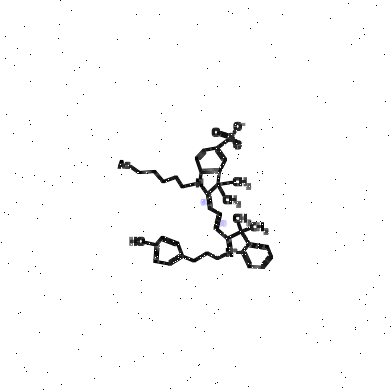 CC(=O)CCCCCN1/C(=C/C=C/C2=[N+](CCCc3ccc(O)cc3)c3ccccc3C2(C)C)C(C)(C)c2cc(S(=O)(=O)[O-])ccc21